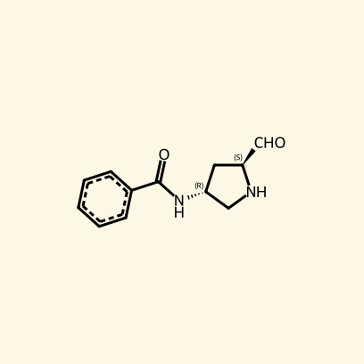 O=C[C@@H]1C[C@@H](NC(=O)c2ccccc2)CN1